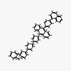 c1ccc2c(-c3ccc(-c4c5ccccc5c(-c5ccc(-c6ccc(-c7ccc8oc9ccccc9c8c7)cc6)cc5)c5ccccc45)cc3)cccc2c1